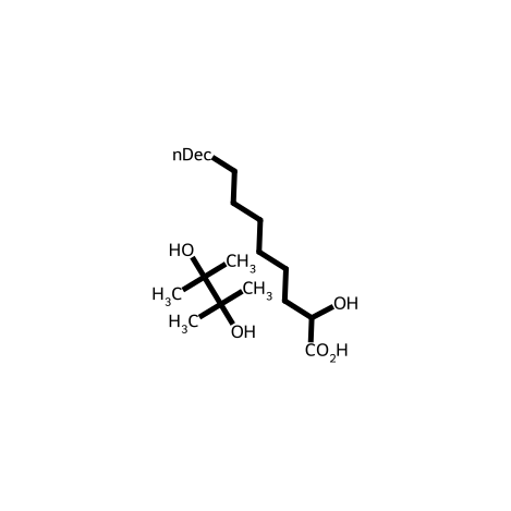 CC(C)(O)C(C)(C)O.CCCCCCCCCCCCCCCCC(O)C(=O)O